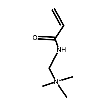 C=CC(=O)NC[N+](C)(C)C